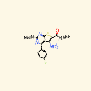 CNC(=O)c1sc2nc(NC)nc(-c3ccc(F)cc3)c2c1N